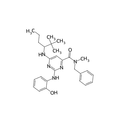 CCCC(Nc1cc(C(=O)N(C)Cc2ccccc2)nc(Nc2ccccc2O)n1)C(C)(C)C